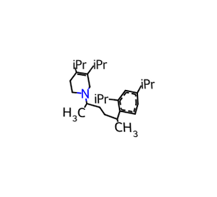 CC(C)C1=C(C(C)C)CN(C(C)CCC(C)c2ccc(C(C)C)cc2C(C)C)CC1